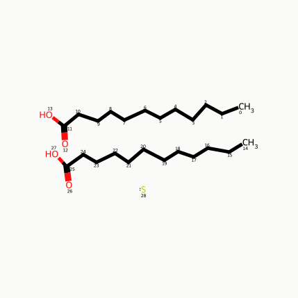 CCCCCCCCCCCC(=O)O.CCCCCCCCCCCC(=O)O.[S]